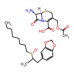 CC(=O)OCC1=C(C(=O)O)N2C(=O)[C@@H](N)[C@H]2SC1.CCCCCCCC[S+]([O-])C(C)Cc1ccc2c(c1)OCO2